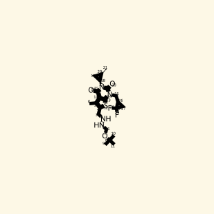 Cc1c(CNNCOC(C)(C)C)sc2c1c(=O)n([C@H]1C[C@@H]1C)c(=O)n2CC1CC1(F)F